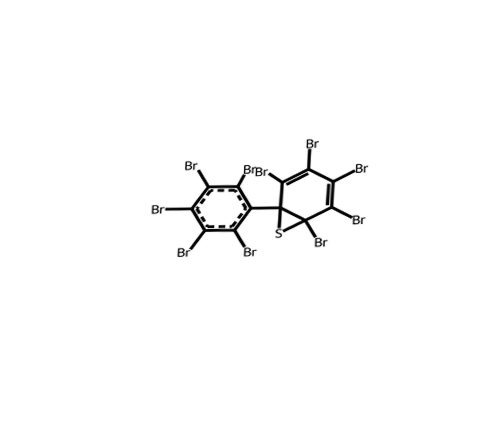 BrC1=C(Br)C2(Br)SC2(c2c(Br)c(Br)c(Br)c(Br)c2Br)C(Br)=C1Br